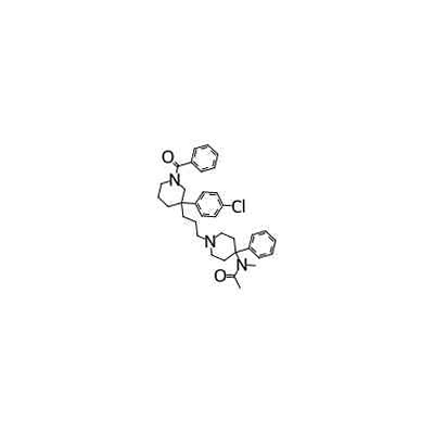 CC(=O)N(C)C1(c2ccccc2)CCN(CCCC2(c3ccc(Cl)cc3)CCCN(C(=O)c3ccccc3)C2)CC1